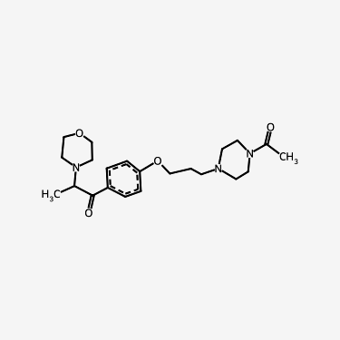 CC(=O)N1CCN(CCCOc2ccc(C(=O)C(C)N3CCOCC3)cc2)CC1